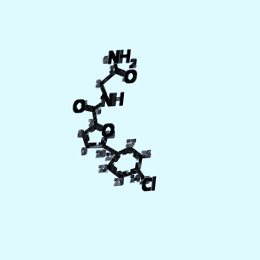 NC(=O)CNC(=O)c1ccc(-c2ccc(Cl)cc2)o1